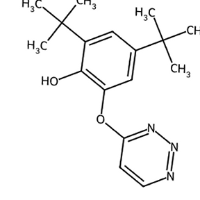 CC(C)(C)c1cc(Oc2ccnnn2)c(O)c(C(C)(C)C)c1